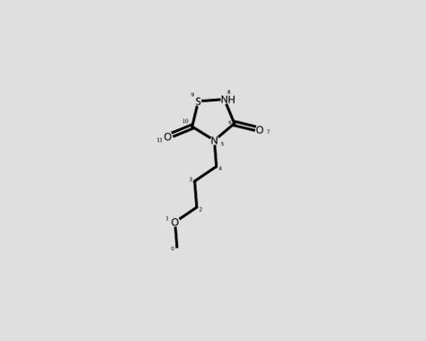 COCCCn1c(=O)[nH]sc1=O